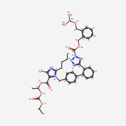 CCCCc1nc(Cl)c(C(=O)OC(C)OC(=O)OCC)n1Cc1ccc(-c2ccccc2-c2nnn(C(=O)OCc3ccccc3CON(O)O)n2)cc1